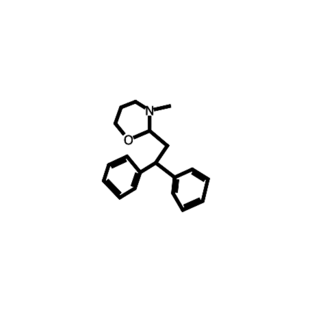 CN1CCCOC1CC(c1ccccc1)c1ccccc1